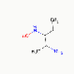 CCC(NO)C(C)N